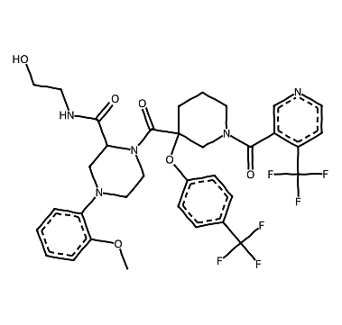 COc1ccccc1N1CCN(C(=O)C2(Oc3ccc(C(F)(F)F)cc3)CCCN(C(=O)c3cnccc3C(F)(F)F)C2)C(C(=O)NCCO)C1